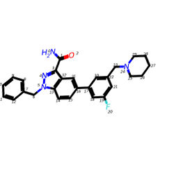 NC(=O)c1nn(Cc2ccccc2)c2ccc(-c3cc(F)cc(CN4CCCCC4)c3)cc12